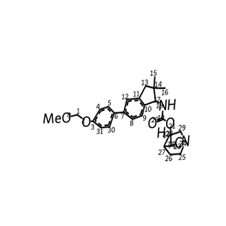 COCOc1ccc(-c2ccc3c(c2)CC(C)(C)C3NC(=O)O[C@H]2CN3CCC2CC3)cc1